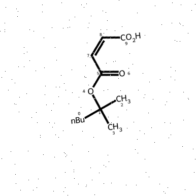 CCCCC(C)(C)OC(=O)/C=C\C(=O)O